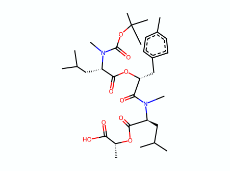 Cc1ccc(C[C@@H](OC(=O)[C@H](CC(C)C)N(C)C(=O)OC(C)(C)C)C(=O)N(C)[C@@H](CC(C)C)C(=O)O[C@H](C)C(=O)O)cc1